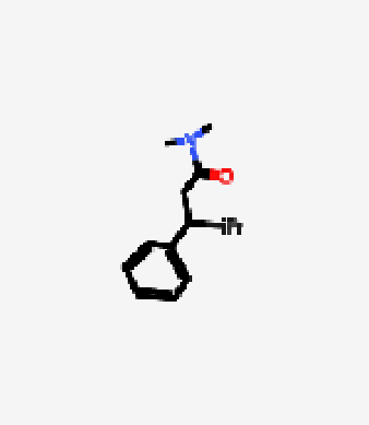 CC(C)C(CC(=O)N(C)C)c1ccccc1